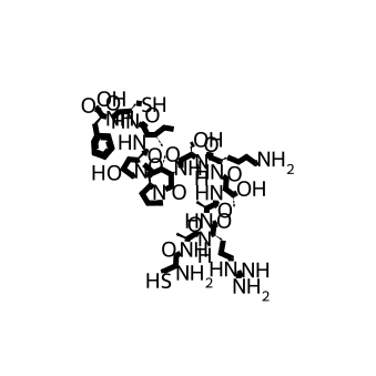 CC[C@H](C)[C@H](NC(=O)[C@@H]1C[C@@H](O)CN1C(=O)[C@@H]1CCCN1C(=O)[C@@H](NC(=O)[C@H](CO)NC(=O)[C@H](CCCCN)NC(=O)[C@@H](NC(=O)[C@H](C)NC(=O)[C@H](CCCNC(=N)N)NC(=O)[C@H](C)NC(=O)[C@@H](N)CS)[C@@H](C)O)[C@@H](C)CC)C(=O)N[C@@H](CS)C(=O)N[C@@H](Cc1ccccc1)C(=O)O